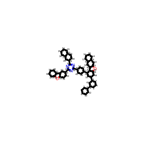 c1ccc(-c2cccc(-c3cc(-c4ccc(-c5nc(-c6ccc7ccccc7c6)nc(-c6ccc7oc8ccccc8c7c6)n5)cc4)c4c(c3)oc3cc5ccccc5cc34)c2)cc1